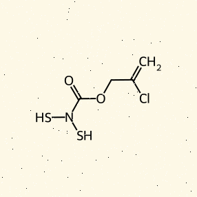 C=C(Cl)COC(=O)N(S)S